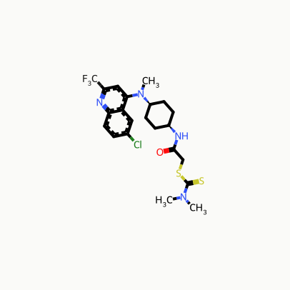 CN(C)C(=S)SCC(=O)N[C@H]1CC[C@@H](N(C)c2cc(C(F)(F)F)nc3ccc(Cl)cc23)CC1